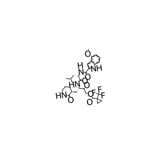 COc1cccc2[nH]c(C(=O)N[C@@H](CC(C)C)C(=O)N[C@@H](C[C@@H]3CCCNC3=O)C(=O)COC(=O)C3(C(F)(F)F)CC3)cc12